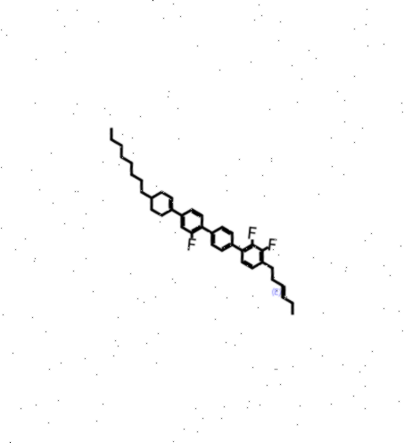 CC/C=C/CCc1ccc(-c2ccc(-c3ccc(C4=CCC(CCCCCCCC)CC4)cc3F)cc2)c(F)c1F